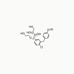 CCOc1ccc(Cc2cc([C@H](OCCO)[C@H](O)[C@@H](O)CO)ccc2Cl)cc1